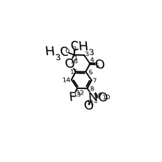 CC1(C)CC(=O)c2cc([N+](=O)[O-])c(F)cc2O1